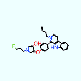 C=CCCN1[C@H](c2ccc(O[C@@H]3CN(CCCF)C[C@H]3O)cc2)c2[nH]c3ccccc3c2C[C@H]1C